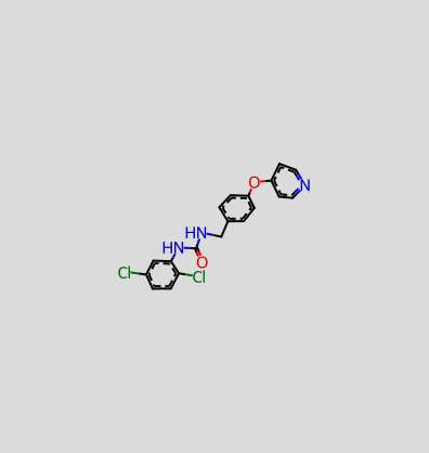 O=C(NCc1ccc(Oc2ccncc2)cc1)Nc1cc(Cl)ccc1Cl